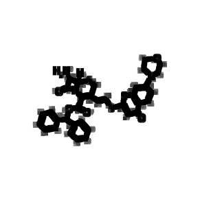 N[C@@H]1C(=O)N2C(C(=O)OC(c3ccccc3)c3ccccc3)=C(C=CSc3cc(=O)c4ccc(N5CCOCC5)cc4s3)CS[C@@H]12